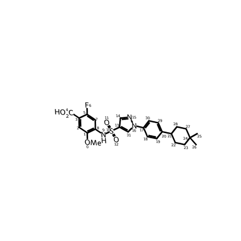 COc1cc(C(=O)O)c(F)cc1NS(=O)(=O)c1cnn(-c2ccc(C3CCC(C)(C)CC3)cc2)c1